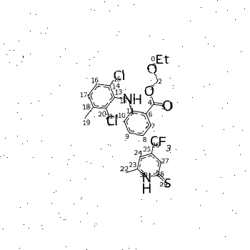 CCOCOC(=O)c1ccccc1Nc1c(Cl)ccc(C)c1Cl.Cc1cc(C(F)(F)F)cc(=S)[nH]1